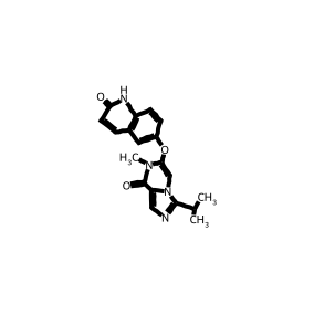 CC(C)c1ncc2c(=O)n(C)c(Oc3ccc4[nH]c(=O)ccc4c3)cn12